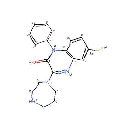 O=c1c(N2CCCNCC2)nc2cc(F)ccc2n1-c1ccccc1